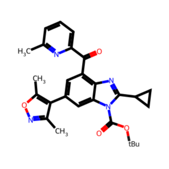 Cc1cccc(C(=O)c2cc(-c3c(C)noc3C)cc3c2nc(C2CC2)n3C(=O)OC(C)(C)C)n1